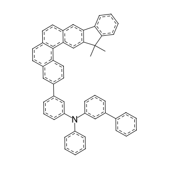 CC1(C)c2ccccc2-c2cc3ccc4ccc5cc(-c6cccc(N(c7ccccc7)c7cccc(-c8ccccc8)c7)c6)ccc5c4c3cc21